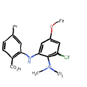 CCOc1cc(Cl)c(N(C)C)c(Nc2cc(C(C)C)ccc2C(=O)O)c1